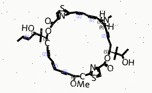 C/C=C/[C@H](O)C(C)(C)[C@@H]1C\C=C/C=C\C=C\[C@H](OC)Cc2nc(cs2)C(=O)O[C@H](C(C)(C)C(C)O)C/C=C\[C@@H]2[C@H](/C=C/C=C\c3nc(cs3)C(=O)O1)N2C